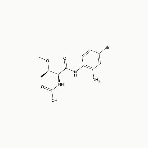 CO[C@H](C)[C@H](NC(=O)O)C(=O)Nc1ccc(Br)cc1N